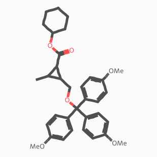 COc1ccc(C(OCC2C(C)C2C(=O)OC2CCCCC2)(c2ccc(OC)cc2)c2ccc(OC)cc2)cc1